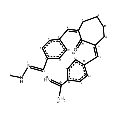 CN/N=C/c1ccc(/C=C2/CCCC/C(=C/c3ccc(C(=N)N)cc3)C2=O)cc1